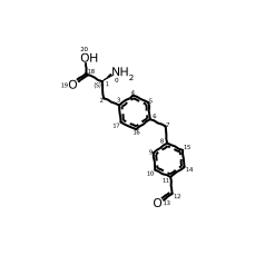 N[C@@H](Cc1ccc(Cc2ccc(C=O)cc2)cc1)C(=O)O